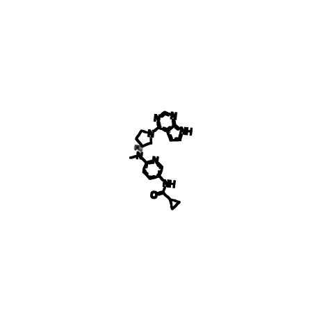 CN(c1ccc(NC(=O)C2CC2)cn1)[C@@H]1CCN(c2ncnc3[nH]ccc23)C1